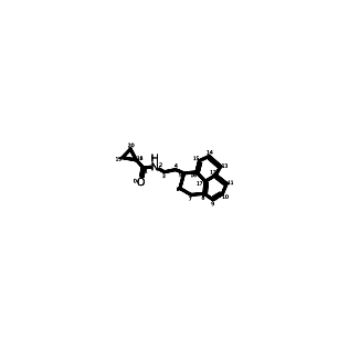 O=C(NCCC1CCc2[c]ccc3cccc1c23)C1CC1